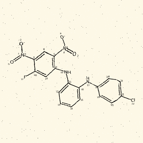 O=[N+]([O-])c1cc([N+](=O)[O-])c(Nc2ccccc2Nc2ccc(Cl)cc2)cc1F